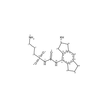 NCCCS(=O)(=O)NC(=O)Nc1c2c(cc3c1CCC3)CCC2.[KH]